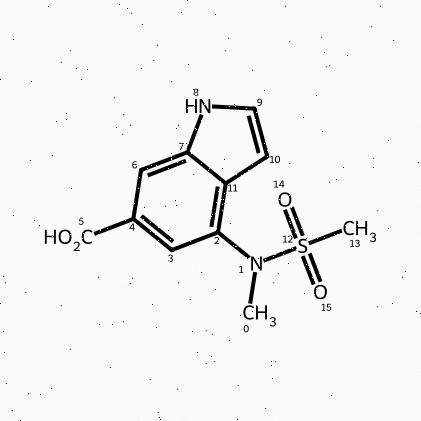 CN(c1cc(C(=O)O)cc2[nH]ccc12)S(C)(=O)=O